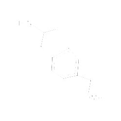 COCc1ccc(CC(N)Cl)cc1